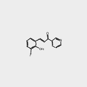 O=C(/C=C/c1cccc(F)c1O)c1cccnc1